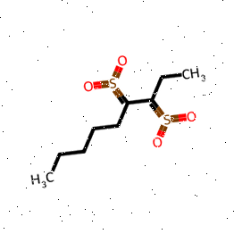 CCCCCC(C(CC)=S(=O)=O)=S(=O)=O